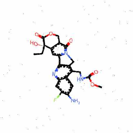 CC[C@@]1(O)C(=O)OCc2c1cc1n(c2=O)Cc2c-1nc1cc(F)c(N)cc1c2CNC(=O)OC